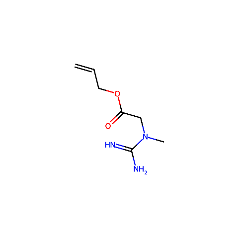 C=CCOC(=O)CN(C)C(=N)N